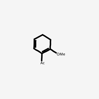 COC1=C(C(C)=O)C=CCC1